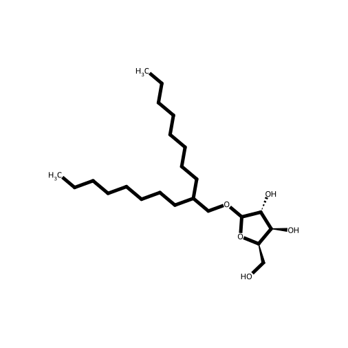 CCCCCCCCC(CCCCCCCC)COC1O[C@H](CO)[C@H](O)[C@H]1O